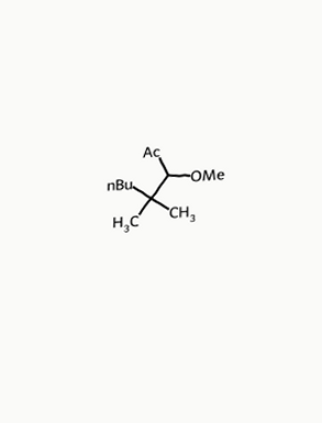 CCCCC(C)(C)C(OC)C(C)=O